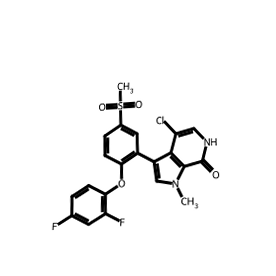 Cn1cc(-c2cc(S(C)(=O)=O)ccc2Oc2ccc(F)cc2F)c2c(Cl)c[nH]c(=O)c21